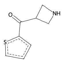 O=C(c1cccs1)C1CNC1